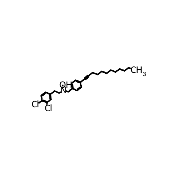 CCCCCCCCCCC#Cc1ccc(CN(O)CCc2ccc(Cl)c(Cl)c2)cc1